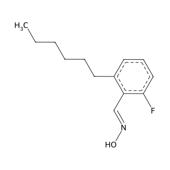 CCCCCCc1cccc(F)c1/C=N/O